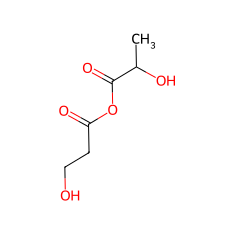 CC(O)C(=O)OC(=O)CCO